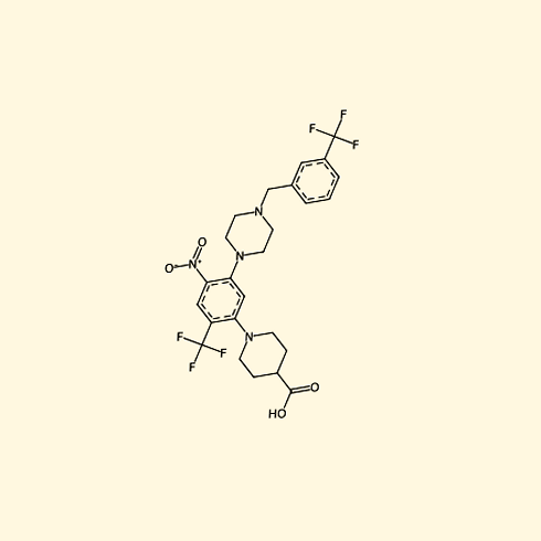 O=C(O)C1CCN(c2cc(N3CCN(Cc4cccc(C(F)(F)F)c4)CC3)c([N+](=O)[O-])cc2C(F)(F)F)CC1